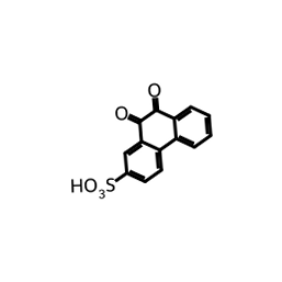 O=C1C(=O)c2cc(S(=O)(=O)O)ccc2-c2ccccc21